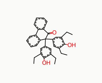 CCc1cc(C2(c3cc(CC)c(O)c(CC)c3)C(=O)c3ccccc3-c3ccccc32)cc(CC)c1O